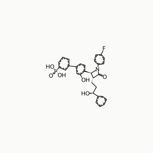 O=C1[C@H](CC[C@H](O)c2ccccc2)[C@@H](c2ccc(-c3cccc(P(=O)(O)O)c3)cc2O)N1c1ccc(F)cc1